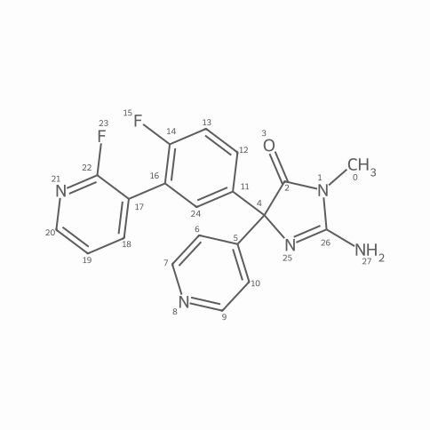 CN1C(=O)C(c2ccncc2)(c2ccc(F)c(-c3cccnc3F)c2)N=C1N